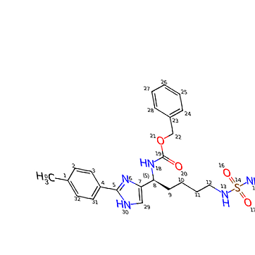 Cc1ccc(-c2nc([C@H](CCCCNS(N)(=O)=O)NC(=O)OCc3ccccc3)c[nH]2)cc1